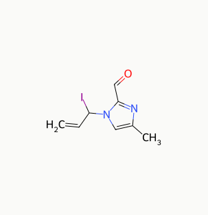 C=CC(I)n1cc(C)nc1C=O